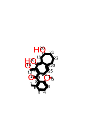 COc1cccc(C)c1C(=O)C1=C(C=O)C(O)=C2C[C@H](O)CCCC2=CC1